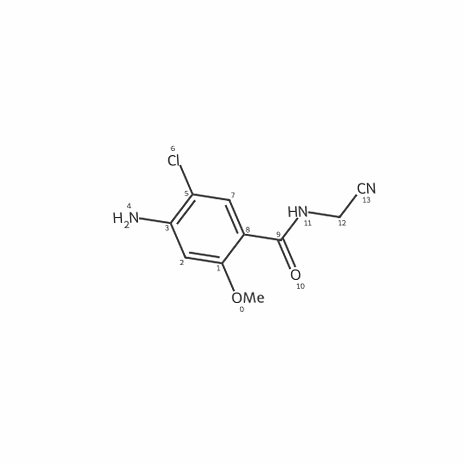 COc1cc(N)c(Cl)cc1C(=O)NCC#N